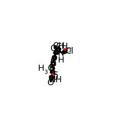 CC(=O)N1c2ccc(-c3ccc(N4CCC(N(C)Cc5ccc(C6CCC(=O)NC6=O)c(F)c5)CC4)cc3)cc2C(Nc2ccc(Cl)cc2)CC1C